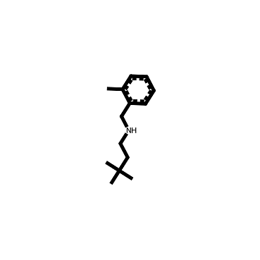 Cc1ccccc1CNCCC(C)(C)C